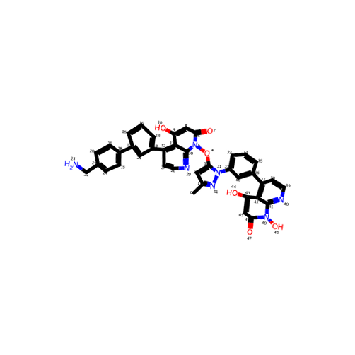 Cc1cc(On2c(=O)cc(O)c3c(-c4cccc(-c5ccc(CN)cc5)c4)ccnc32)n(-c2cccc(-c3ccnc4c3c(O)cc(=O)n4O)c2)n1